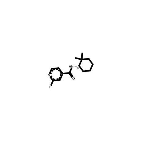 CC1(C)CCCC[C@@H]1NC(=O)c1ccnc(F)c1